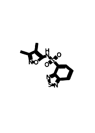 Cc1noc(NS(=O)(=O)c2cccc3nsnc23)c1C